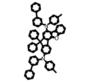 Cc1ccc(N(c2cccc(-c3ccccc3)c2)c2ccc3c(c2)C(c2ccccc2)(c2ccccc2)c2cc(N(c4ccc(C)cc4)c4cccc(-c5ccccc5)c4)c4c(oc5ccccc54)c2-3)cc1